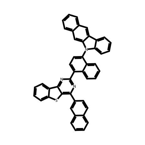 c1ccc2cc(-c3nc(-c4ccc(-n5c6ccccc6c6cc7ccccc7cc65)c5ccccc45)nc4c3sc3ccccc34)ccc2c1